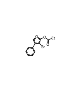 CCC(=O)Oc1occ(-c2ccccc2)c1Br